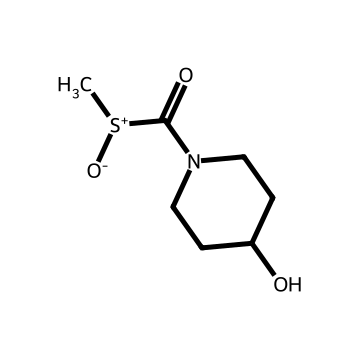 C[S+]([O-])C(=O)N1CCC(O)CC1